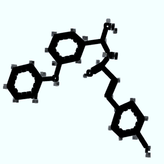 CC(NC(=O)/C=C/c1ccc(F)cc1)c1cccc(Oc2ccccn2)c1